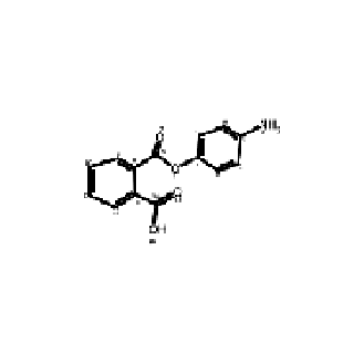 Nc1ccc(OC(=O)c2ccccc2C(=O)O)cc1